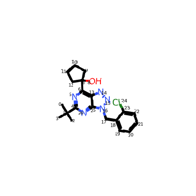 CC(C)(C)c1nc(C2(O)CCCC2)c2nnn(Cc3ccccc3Cl)c2n1